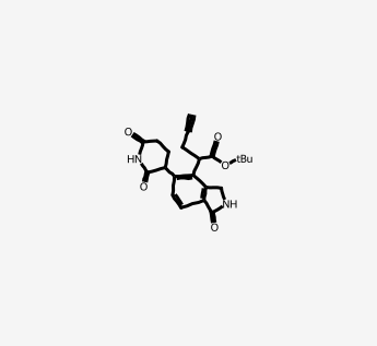 C#CCC(C(=O)OC(C)(C)C)c1c(C2CCC(=O)NC2=O)ccc2c1CNC2=O